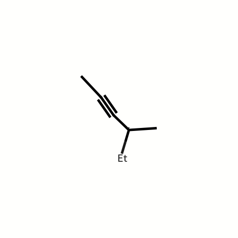 CC#C[C](C)CC